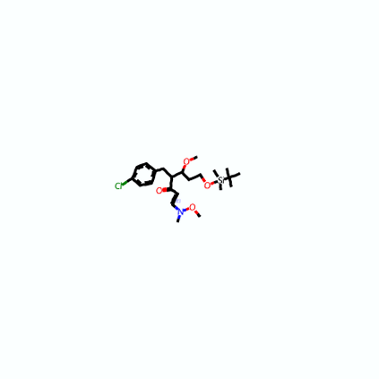 COC(CCO[Si](C)(C)C(C)(C)C)C(Cc1ccc(Cl)cc1)C(=O)/C=C/N(C)OC